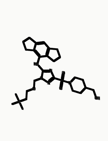 C[Si](C)(C)CCOCn1nc(S(=O)(=O)N2CCC(CO)CC2)nc1Nc1c2c(cc3c1CCC3)CCC2